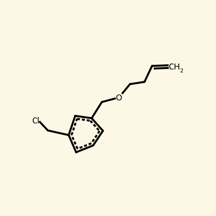 C=CCCOCc1cccc(CCl)c1